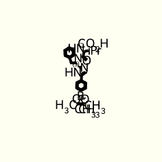 CC(C)C(NC(=O)O)C(=O)N1c2ccccc2C[C@H]1c1ncc(-c2ccc(B3OC(C)(C)C(C)(C)O3)cc2)[nH]1